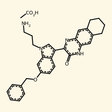 CC(=O)O.NCCCn1cc(-c2nc3cc4c(cc3[nH]c2=O)CCCC4)c2ccc(OCc3ccccc3)cc21